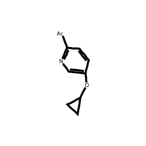 CC(=O)c1ccc(OC2CC2)cn1